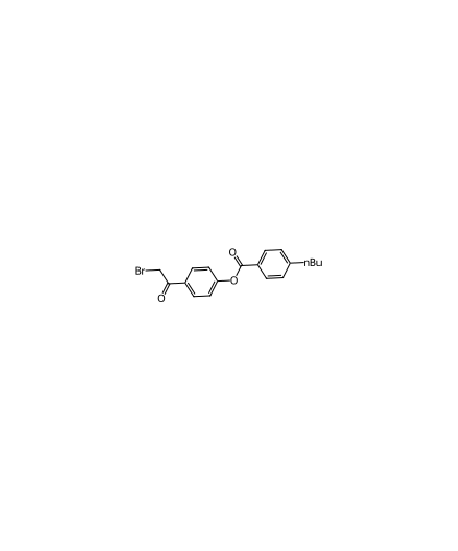 CCCCc1ccc(C(=O)Oc2ccc(C(=O)CBr)cc2)cc1